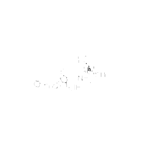 CCOP(=O)(C=CC(N)CCCc1ccc([SH]2C=CC(OCc3ccccc3)=C2)cc1Cl)OCC.Cl